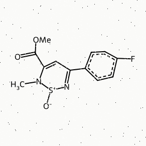 COC(=O)C1=CC(c2ccc(F)cc2)=N[S+]([O-])N1C